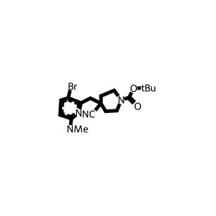 CNc1ccc(Br)c(CC2(C#N)CCN(C(=O)OC(C)(C)C)CC2)n1